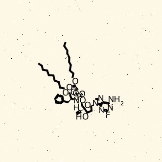 C#C[C@]1(CO[P@@](=O)(N[C@@H](Cc2ccccc2)C(=O)OCCCCCCCCCC)OCC(=O)OCCCCCCCCCC)O[C@@H](n2cnc3c(N)nc(F)nc32)C[C@@H]1O